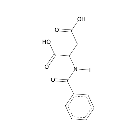 O=C(O)CC(C(=O)O)N(I)C(=O)c1ccccc1